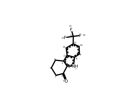 O=C1CCCc2c1[nH]c1ccc(C(F)(F)F)cc21